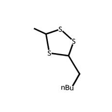 CCCCCC1SSC(C)S1